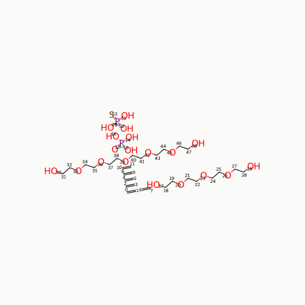 C=C.C=C.C=C.C=C.C=C.C=C.O=P(O)(O)O.OCCOCCOCCOCCO.OCCOCCOCCOCCOCCOCCO.OP(O)(O)=S